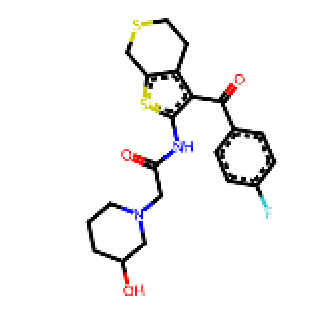 O=C(CN1CCCC(O)C1)Nc1sc2c(c1C(=O)c1ccc(F)cc1)CCSC2